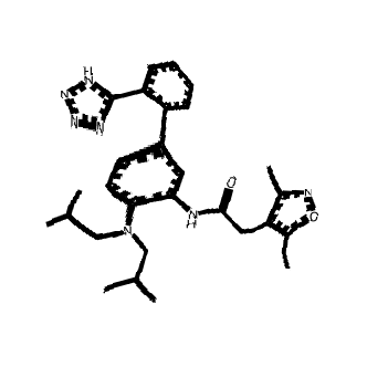 Cc1noc(C)c1CC(=O)Nc1cc(-c2ccccc2-c2nnn[nH]2)ccc1N(CC(C)C)CC(C)C